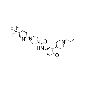 CCCN1CCC(c2cc(NC(=O)N3CCN(c4ccc(C(F)(F)F)cn4)CC3)ccc2OC)CC1